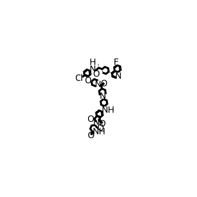 C[C@@H](C(=O)Nc1ccc(Cl)c(OC2CCN(C(=O)C3CCN(C4CCC(Nc5ccc6c(c5)C(=O)N(C5CCC(=O)NC5=O)C6=O)CC4)CC3)CC2)c1)[C@H]1CC[C@@H](c2ccnc3ccc(F)cc32)CC1